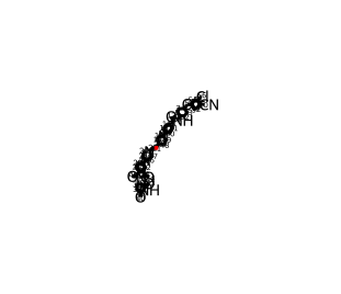 N#Cc1ccc(OC2CCC(NC(=O)c3ccc(N4CCC(CCN5CCN(c6ccc7c(c6)C(=O)N(C6CCC(=O)NC6=O)C7=O)CC5)CC4)cc3)CC2)cc1Cl